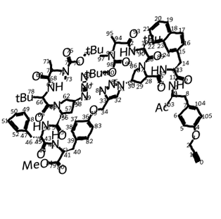 C#CCOc1ccc(C[C@H](NC(=O)[C@H](Cc2ccc3ccccc3c2)NC(=O)C2C[C@H](n3cc(COc4ccc(C[C@H](NC(=O)[C@H](Cc5ccccc5)NC(=O)[C@@H]5C[C@H](N=[N+]=[N-])CN5C(=O)C(NC(=O)C(C)N(C)C(=O)OC(C)(C)C)C(C)(C)C)C(=O)OC)cc4)nn3)CN2C(=O)[C@@H](NC(=O)C(C)N(C)C(=O)OC(C)(C)C)C(C)(C)C)C(C)=O)cc1